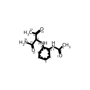 CC(=O)Nc1ccccc1NC(C(C)=O)C(N)=O